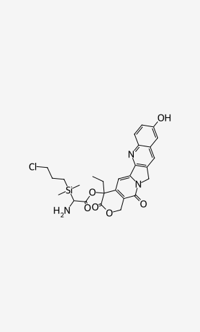 CCC1(OC(=O)C(N)[Si](C)(C)CCCCl)C(=O)OCc2c1cc1n(c2=O)Cc2cc3cc(O)ccc3nc2-1